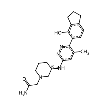 Cc1cc(N[C@@H]2CCCN(CC(N)=O)C2)nnc1-c1ccc2c(c1O)CCC2